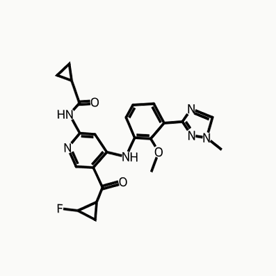 COc1c(Nc2cc(NC(=O)C3CC3)ncc2C(=O)C2CC2F)cccc1-c1ncn(C)n1